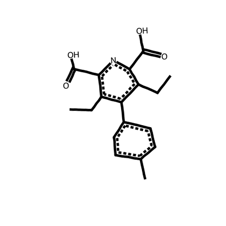 CCc1c(C(=O)O)nc(C(=O)O)c(CC)c1-c1ccc(C)cc1